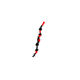 COCCOCCOc1ccc(C#Cc2ccc(OC(=O)[C@H]3CC[C@H](C(=O)Oc4ccc(C#Cc5ccc(OCCOCCOC)cc5)cc4)CC3)cc2)cc1